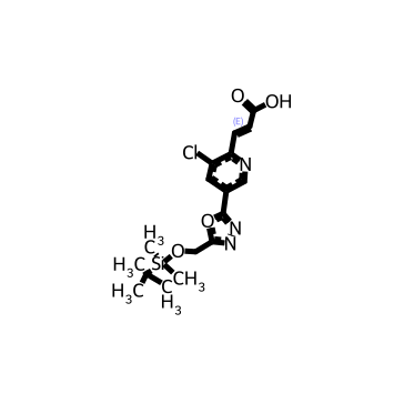 CC(C)(C)[Si](C)(C)OCc1nnc(-c2cnc(/C=C/C(=O)O)c(Cl)c2)o1